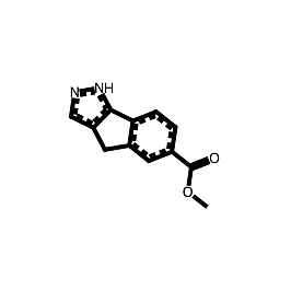 COC(=O)c1ccc2c(c1)Cc1cn[nH]c1-2